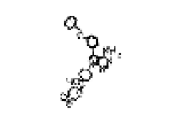 Nc1ncnc2c1c(-c1cccc(OCC34CCC(CC3)O4)c1)cn2C1CCC(O)(CN2CCS(=O)(=O)CC2)CC1